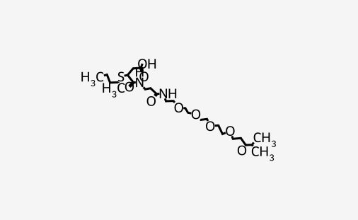 CCCC(C)SC(CC(=O)O)C(=O)NCCC(=O)NCCOCCOCCOCCOCCC(=O)C(C)C